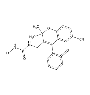 CCNC(=O)NCC1=C(n2ccccc2=O)c2cc(C#N)ccc2OC1(C)C